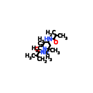 C=C(C)C(=O)NC1CC(C)(C)N(NC(=O)C(=C)C)C(C)(C)C1